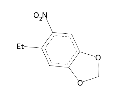 [CH2]Cc1cc2c(cc1[N+](=O)[O-])OCO2